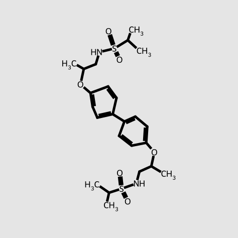 CC(CNS(=O)(=O)C(C)C)Oc1ccc(-c2ccc(OC(C)CNS(=O)(=O)C(C)C)cc2)cc1